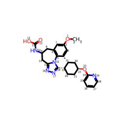 COc1ccc2c(c1)CC(NC(=O)O)Cc1nnc([C@H]3CC[C@H](Oc4ccccn4)CC3)n1-2